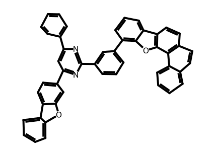 c1ccc(-c2cc(-c3ccc4c(c3)oc3ccccc34)nc(-c3cccc(-c4cccc5c4oc4c5ccc5ccc6ccccc6c54)c3)n2)cc1